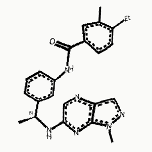 CCc1ccc(C(=O)Nc2cccc([C@H](C)Nc3cnc4cnn(C)c4n3)c2)cc1C